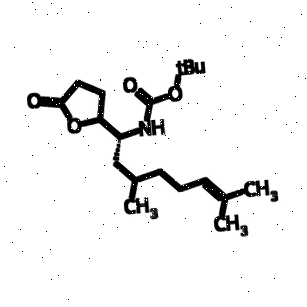 CC(C)=CCCC(C)C[C@@H](NC(=O)OC(C)(C)C)C1CCC(=O)O1